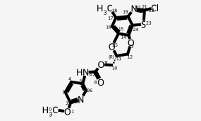 COc1ccc(NC(=O)OC[C@H]2COc3c(cc(C)c4nc(Cl)sc34)O2)cn1